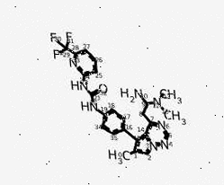 Cc1cn2ncnc(CC(N)N(C)C)c2c1-c1ccc(NC(=O)Nc2cccc(C(F)(F)F)n2)cc1